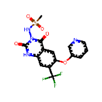 CS(=O)(=O)Nn1c(=O)[nH]c2cc(C(F)(F)F)c(Oc3cccnc3)cc2c1=O